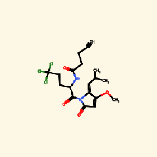 C#CCCC(=O)N[C@H](CCC(Cl)(Cl)Cl)C(=O)N1C(=O)C=C(OC)/C1=C\C(C)C